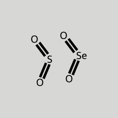 O=S=O.O=[Se]=O